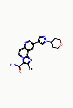 Cc1nc2c3cc(-c4cnn(C5CCOCC5)c4)cnc3ccn2c1C(N)=O